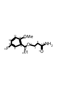 CC[C@H](OCCC(N)=O)c1cc(F)ccc1OC